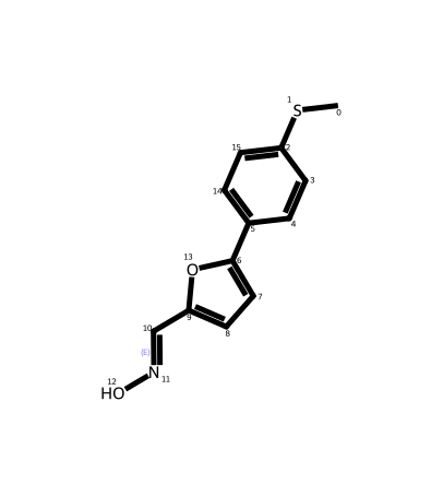 CSc1ccc(-c2ccc(/C=N/O)o2)cc1